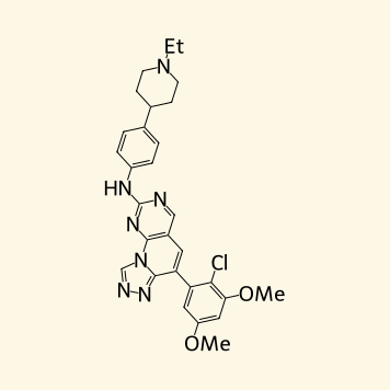 CCN1CCC(c2ccc(Nc3ncc4cc(-c5cc(OC)cc(OC)c5Cl)c5nncn5c4n3)cc2)CC1